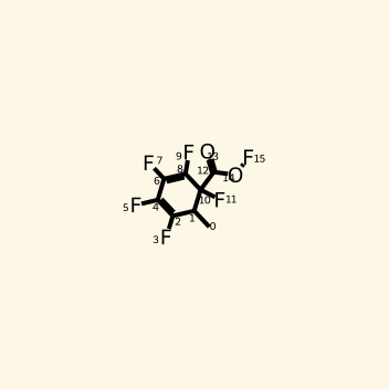 CC1C(F)=C(F)C(F)=C(F)C1(F)C(=O)OF